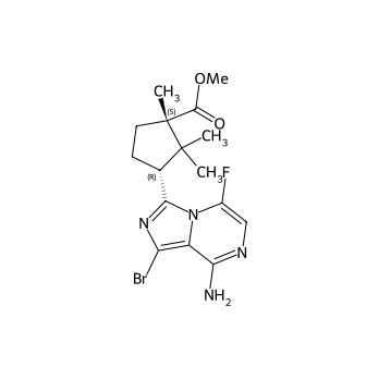 COC(=O)[C@@]1(C)CC[C@@H](c2nc(Br)c3c(N)ncc(F)n23)C1(C)C